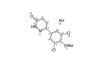 COc1c(Cl)cc(-c2ccc(=O)[nH]n2)cc1Cl.[KH]